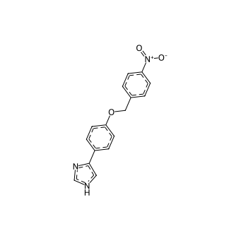 O=[N+]([O-])c1ccc(COc2ccc(-c3c[nH]cn3)cc2)cc1